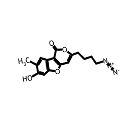 Cc1cc2c(cc1O)oc1cc(CCCCN=[N+]=[N-])oc(=O)c12